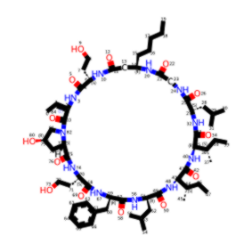 C/C=C1/NC(=O)[C@H](CCO)NC(=O)C[C@@H](CCCCC)NC(=O)CNC(=O)[C@H](CC(C)C)NC(=O)[C@@H]([C@@H](C)CC)NC(=O)[C@H]([C@@H](C)CC)NC(=O)[C@@H](CC(C)C)NC(=O)[C@@H](Cc2ccccc2)NC(=O)[C@H](CCO)NC(=O)[C@@H]2C[C@@H](O)CN2C1=O